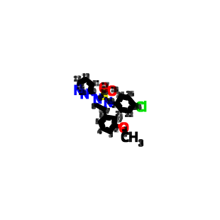 COc1cccc([C@H]2CN(c3cccnn3)S(=O)(=O)N2c2ccc(Cl)cc2)c1